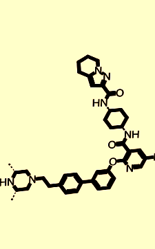 C[C@@H]1CN(CCc2ccc(-c3cccc(Oc4ncc(F)cc4C(=O)N[C@H]4CC[C@@H](NC(=O)c5cc6n(n5)CCCC6)CC4)c3)cc2)C[C@H](C)N1